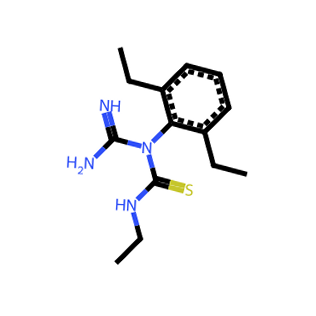 CCNC(=S)N(C(=N)N)c1c(CC)cccc1CC